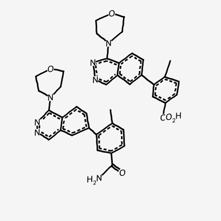 Cc1ccc(C(=O)O)cc1-c1ccc2c(N3CCOCC3)nncc2c1.Cc1ccc(C(N)=O)cc1-c1ccc2c(N3CCOCC3)nncc2c1